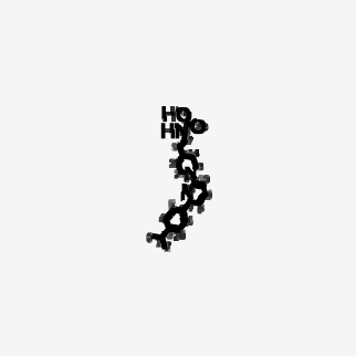 CC(C)c1ccc(-c2cccc(N3CCC(CCNC(=O)O)CC3)n2)cc1